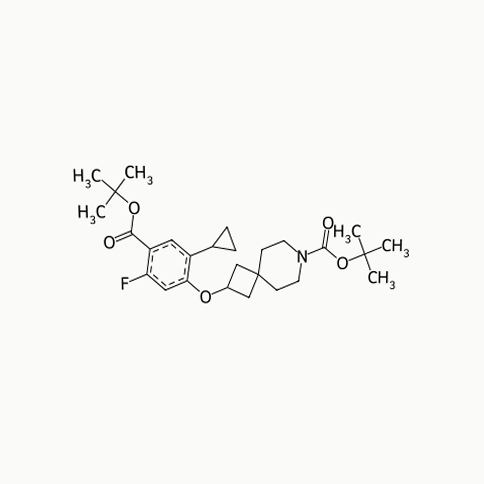 CC(C)(C)OC(=O)c1cc(C2CC2)c(OC2CC3(CCN(C(=O)OC(C)(C)C)CC3)C2)cc1F